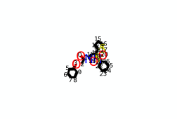 O=C(COc1ccccc1)NCC(c1cccs1)S(=O)(=O)c1ccccc1